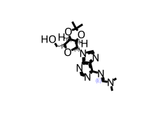 CN(C)/C=N/c1ncnc2c1ncn2[C@@H]1O[C@H](CO)[C@H]2OC(C)(C)O[C@H]21